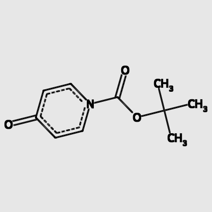 CC(C)(C)OC(=O)n1ccc(=O)cc1